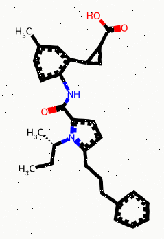 CC[C@H](C)n1c(CCCc2ccccc2)ccc1C(=O)Nc1ccc(C)cc1C1CC1C(=O)O